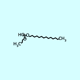 CCCCCCCCCCCCCCOP(O)OCCC